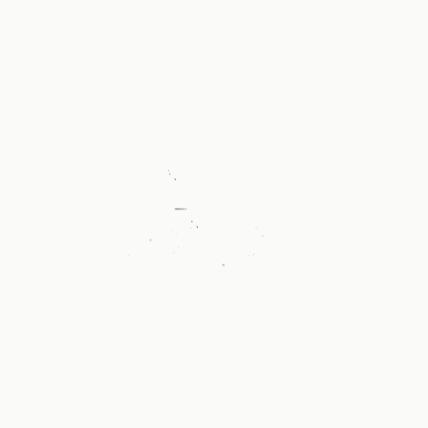 COc1ccc([C@@](C)(O)Cn2c3c(c4cc(C)ccc42)C2CCC(C3)N2C)cc1